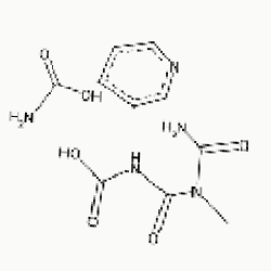 CN(C(N)=O)C(=O)NC(=O)O.NC(=O)O.c1ccncc1